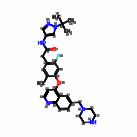 Cc1cc(CC(=O)Nc2cnn(C(C)(C)C)c2)c(F)cc1Oc1ccnc2ccc(CN3CCNCC3)cc12